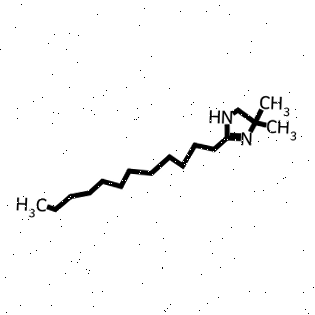 CCCCCCCCCCCCC1=NC(C)(C)CN1